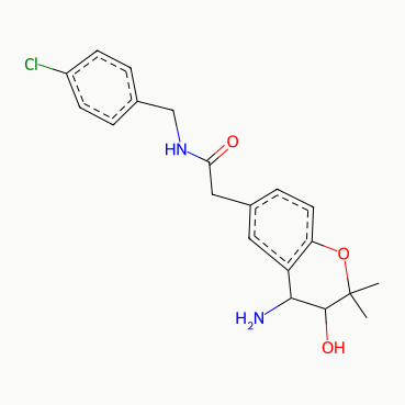 CC1(C)Oc2ccc(CC(=O)NCc3ccc(Cl)cc3)cc2C(N)C1O